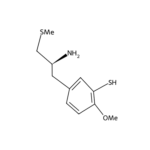 COc1ccc(C[C@H](N)CSC)cc1S